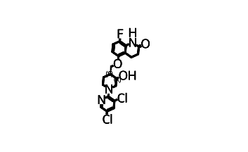 O=C1CCc2c(OC[C@@H]3CCN(c4ncc(Cl)cc4Cl)C[C@@H]3O)ccc(F)c2N1